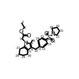 CCOC(=O)Cn1c(C)c(Cc2ccc(S(=O)(=O)N3CCCC3)cc2)c2c1CCCC2